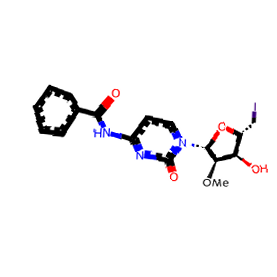 CO[C@@H]1[C@H](O)[C@@H](CI)O[C@H]1n1ccc(NC(=O)c2ccccc2)nc1=O